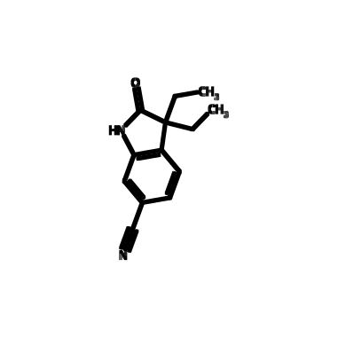 CCC1(CC)C(=O)Nc2cc(C#N)ccc21